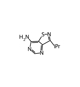 CC(C)c1nsc2c(N)ncnc12